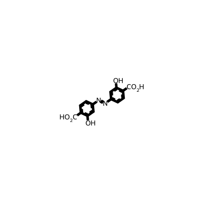 O=C(O)c1ccc(N=Nc2ccc(C(=O)O)c(O)c2)cc1O